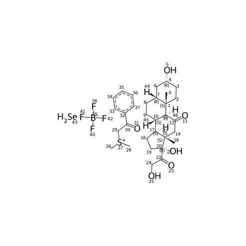 C[C@]12CC[C@@H](O)C[C@H]1CC[C@@H]1[C@@H]2C(=O)C[C@@]2(C)[C@H]1CC[C@]2(O)C(=O)CO.C[S+](C)CC(=O)c1ccccc1.F[B-](F)(F)F.[SeH2]